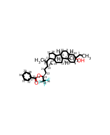 CC[C@]1(O)CC[C@@]2(C)[C@@H](CC[C@@H]3[C@@H]2CC[C@]2(C)[C@@H]([C@H](C)CCC[C@H](OC(=O)c4ccccc4)C(F)(F)F)CC[C@@H]32)C1